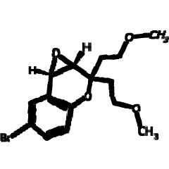 COCCC1(CCOC)Oc2ccc(Br)cc2[C@@H]2O[C@@H]21